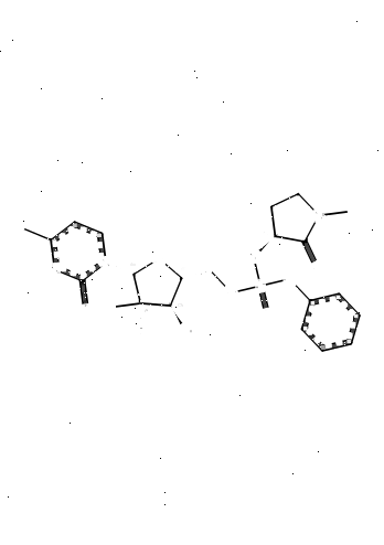 Cc1ccn([C@@H]2O[C@H](COP(=O)(N[C@H]3CCN(C)C3=O)Oc3ccccc3)[C@@H](O)[C@@]2(C)F)c(=O)n1